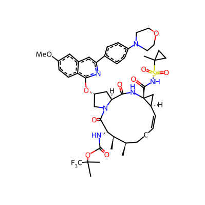 COc1ccc2c(O[C@@H]3C[C@H]4C(=O)N[C@]5(C(=O)NS(=O)(=O)C6(C)CC6)C[C@H]5/C=C\CC[C@@H](C)[C@@H](C)[C@H](NC(=O)OC(C)(C)C(F)(F)F)C(=O)N4C3)nc(-c3ccc(N4CCOCC4)cc3)cc2c1